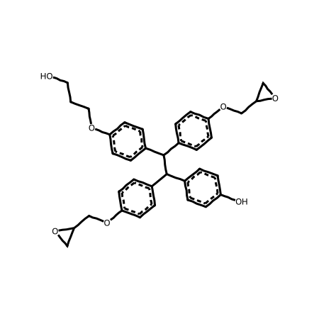 OCCCOc1ccc(C(c2ccc(OCC3CO3)cc2)C(c2ccc(O)cc2)c2ccc(OCC3CO3)cc2)cc1